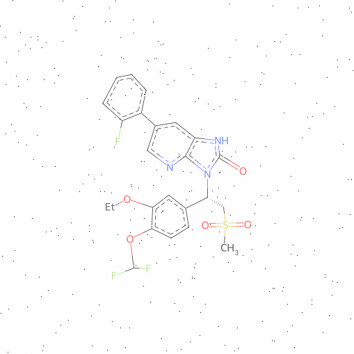 CCOc1cc([C@@H](CS(C)(=O)=O)n2c(=O)[nH]c3cc(-c4ccccc4F)cnc32)ccc1OC(F)F